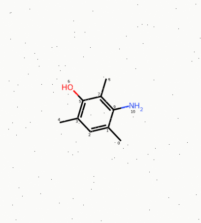 Cc1cc(C)c(O)c(C)c1N